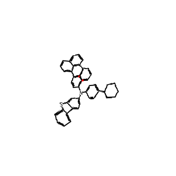 c1ccc(-c2cccc3cccc(-c4ccc(N(c5ccc(C6CCCCC6)cc5)c5ccc6c(c5)sc5ccccc56)cc4)c23)cc1